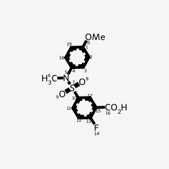 COc1ccc(N(C)S(=O)(=O)c2ccc(F)c(C(=O)O)c2)cc1